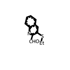 CCSc1cc2ccccc2nc1[C]=O